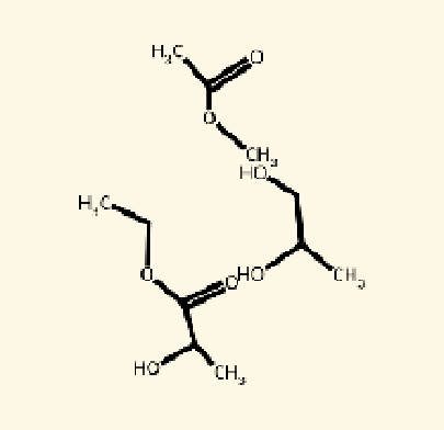 CC(O)CO.CCOC(=O)C(C)O.COC(C)=O